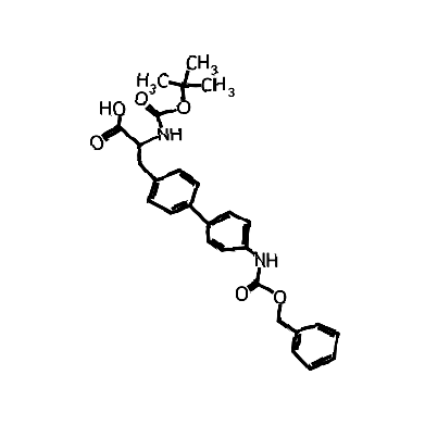 CC(C)(C)OC(=O)NC(Cc1ccc(-c2ccc(NC(=O)OCc3ccccc3)cc2)cc1)C(=O)O